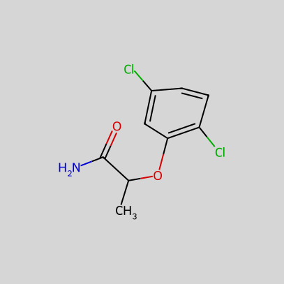 CC(Oc1cc(Cl)ccc1Cl)C(N)=O